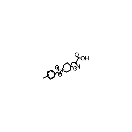 Cc1ccc(S(=O)(=O)N2CCC3(CC2)CC(C(=O)O)=NO3)cc1